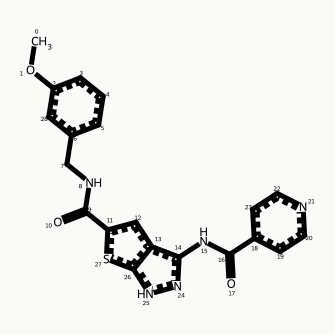 COc1cccc(CNC(=O)c2cc3c(NC(=O)c4ccncc4)n[nH]c3s2)c1